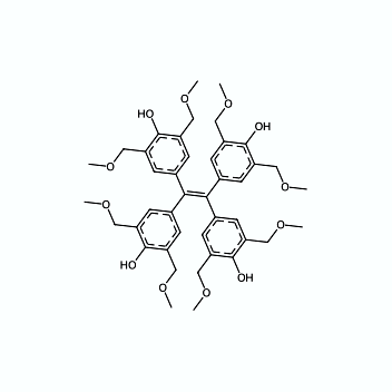 COCc1cc(C(=C(c2cc(COC)c(O)c(COC)c2)c2cc(COC)c(O)c(COC)c2)c2cc(COC)c(O)c(COC)c2)cc(COC)c1O